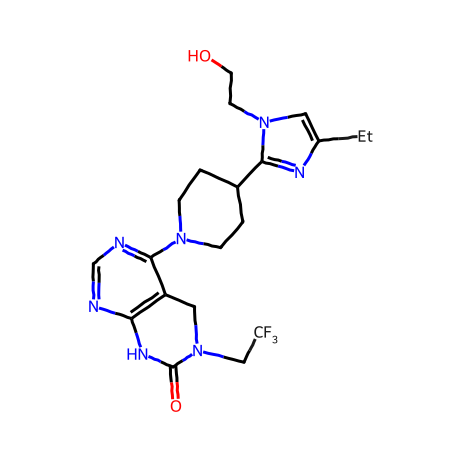 CCc1cn(CCO)c(C2CCN(c3ncnc4c3CN(CC(F)(F)F)C(=O)N4)CC2)n1